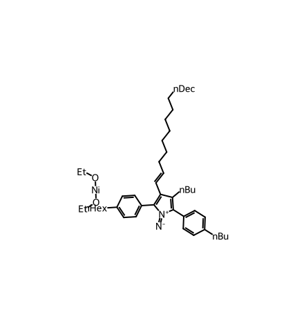 CCCCCCCCCCCCCCCCCC=CC1=C(c2ccc(CCCCCC)cc2)[N+](=[N-])C(c2ccc(CCCC)cc2)=C1CCCC.CC[O][Ni][O]CC